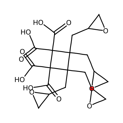 O=C(O)C1(C(=O)O)C(CC2CO2)(CC2CO2)C(CC2CO2)(CC2CO2)C1(C(=O)O)C(=O)O